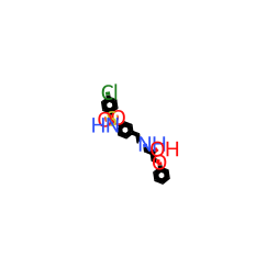 O=S(=O)(Nc1ccc(CCNCC(O)COc2ccccc2)cc1)c1ccc(Cl)cc1